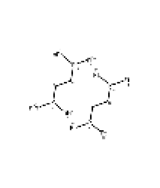 CCCP(CCC)CCP(CCC)CCC.CCP(CC)CCP(CC)CC